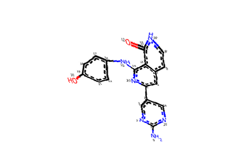 Nc1ncc(-c2cc3cc[nH]c(=O)c3c(Nc3ccc(O)cc3)n2)cn1